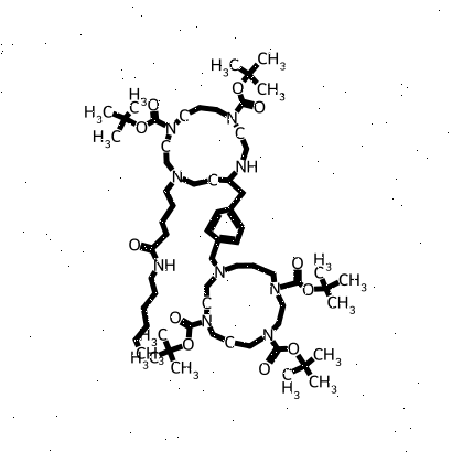 CCCCCCNC(=O)CCCCN1CCC(Cc2ccc(CN3CCCN(C(=O)OC(C)(C)C)CCN(C(=O)OC(C)(C)C)CCCN(C(=O)OC(C)(C)C)CC3)cc2)NCCN(C(=O)OC(C)(C)C)CCCN(C(=O)OC(C)(C)C)CC1